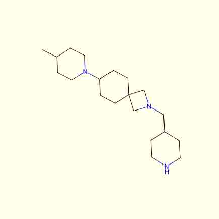 CC1CCN(C2CCC3(CC2)CN(CC2CCNCC2)C3)CC1